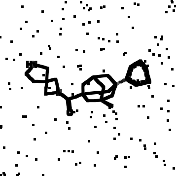 C[C@]12CC3CC(C(=O)N4CC5(CCNC5)C4)(C1)C[C@@](c1ccccc1)(C3)C2